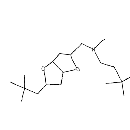 CN(CCC(C)(C)C)CC1CC2OC(CC(C)(C)C)CC2O1